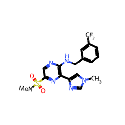 CNS(=O)(=O)c1cnc(NCc2cccc(C(F)(F)F)c2)c(-c2cn(C)cn2)n1